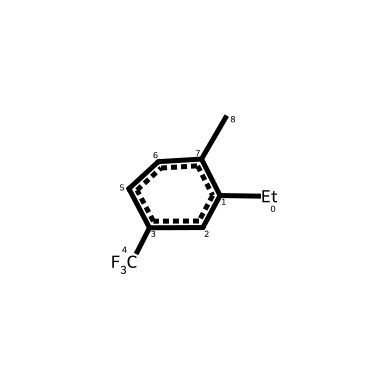 CCc1cc(C(F)(F)F)ccc1C